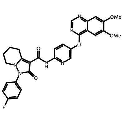 COc1cc2ncnc(Oc3ccc(NC(=O)c4c5n(n(-c6ccc(F)cc6)c4=O)CCCC5)nc3)c2cc1OC